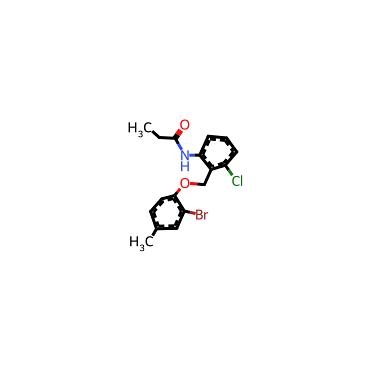 CCC(=O)Nc1cccc(Cl)c1COc1ccc(C)cc1Br